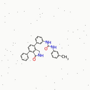 Cc1cccc(NC(=O)Nc2cccc(-c3ccc(-c4ccccc4)c4c3CNC4=O)c2)c1